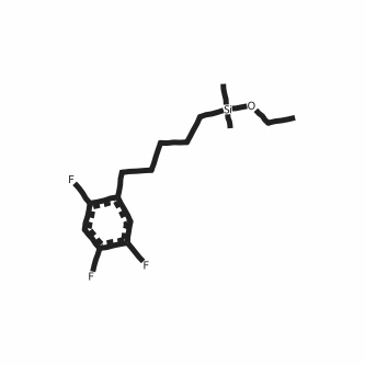 CCO[Si](C)(C)CCCCCc1cc(F)c(F)cc1F